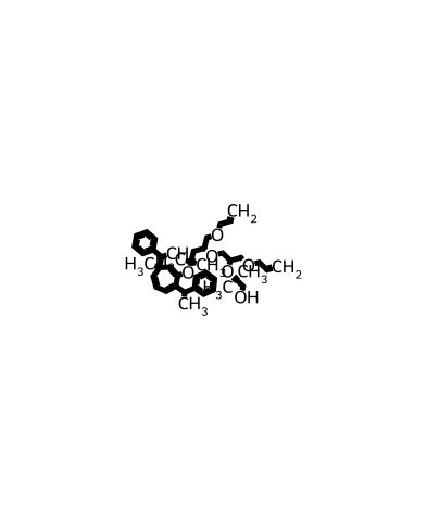 C=CCOCC(CC(C)(C)OC1=CC(C)(C(C)c2ccccc2)C=CC=C1C(C)c1ccccc1)OCC(COCC=C)OC(C)(C)CO